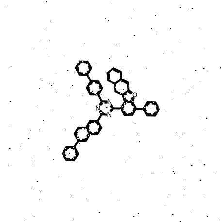 C1=CC2=Cc3oc4c(-c5ccccc5)ccc(-c5nc(-c6ccc(-c7ccccc7)cc6)nc(-c6ccc7cc(-c8ccccc8)ccc7c6)n5)c4c3CC2C=C1